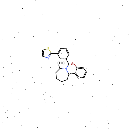 O=CC1CCCCC(c2ccccc2Br)N1Cc1cccc(-c2nccs2)c1